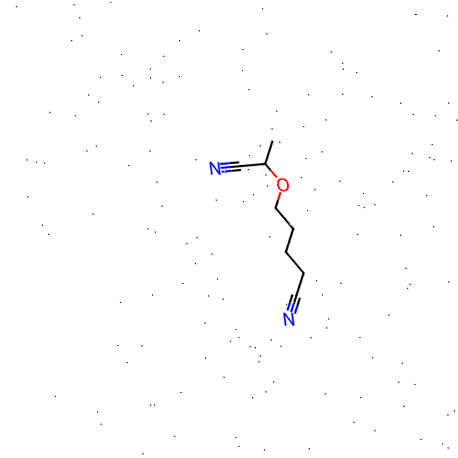 CC(C#N)OCCCCC#N